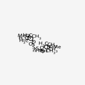 CCCCCCCC(SCC(=O)OC1CC(C)(C)N(OC)C(C)(C)C1)SCC(=O)OC1CC(C)(C)N(OC)C(C)(C)C1